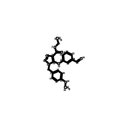 CCOC(=O)c1nnn(Cc2ccc(OC)cc2)c1Oc1cccc(C=O)c1